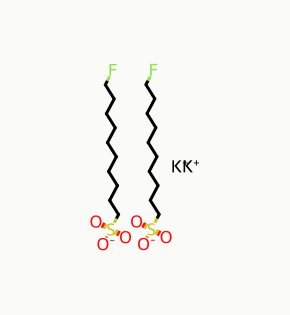 O=S(=O)([O-])CCCCCCCCCCF.O=S(=O)([O-])CCCCCCCCCCF.[K+].[K+]